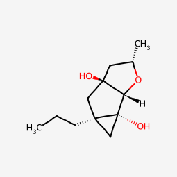 CCC[C@]12C[C@]3(O)C[C@H](C)O[C@@H]3[C@@]1(O)C2